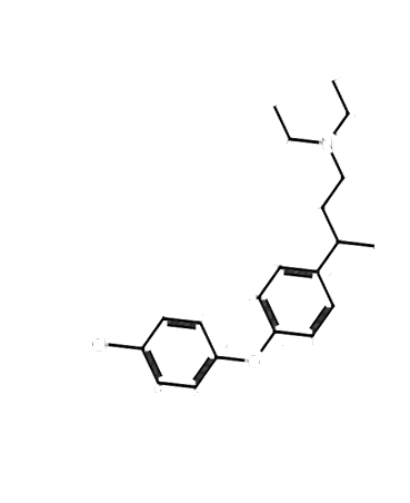 CCN(CC)CCC(C)c1ccc(Oc2ccc(Cl)cc2)cc1